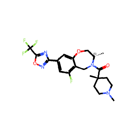 C[C@H]1COc2cc(-c3noc(C(F)(F)F)n3)cc(F)c2CN1C(=O)C1(C)CCN(C)CC1